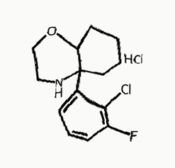 Cl.Fc1cccc(C23CCCCC2OCCN3)c1Cl